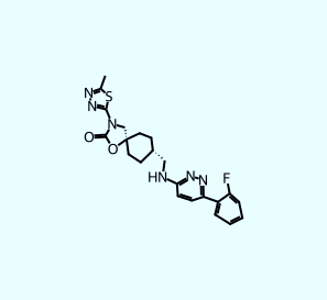 Cc1nnc(N2C[C@]3(CC[C@@H](CNc4ccc(-c5ccccc5F)nn4)CC3)OC2=O)s1